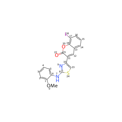 COc1ccccc1Nc1nc(-c2cc3cccc(I)c3oc2=O)cs1